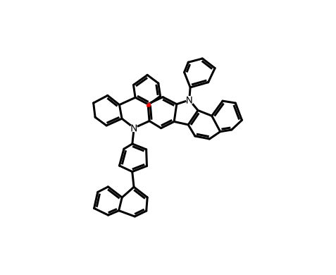 C1=C(c2ccccc2)C(N(c2ccc(-c3cccc4ccccc34)cc2)c2ccc3c(c2)c2ccc4ccccc4c2n3-c2ccccc2)=CCC1